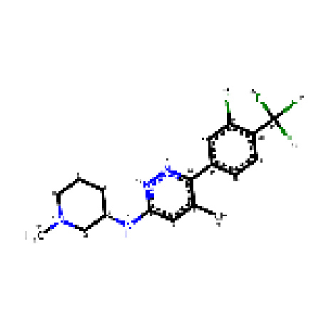 Cc1cc(N[C@@H]2CCCN(C)C2)nnc1-c1ccc(C(F)(F)F)c(Cl)c1